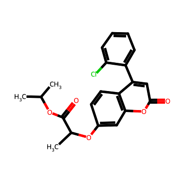 CC(C)OC(=O)C(C)Oc1ccc2c(-c3ccccc3Cl)cc(=O)oc2c1